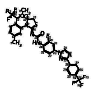 COC(c1ccc(C)cc1N1C(=O)CS/C1=N\C(=O)Nc1ccc(-n2cnc(-c3ccc(C(F)(F)F)cc3)n2)cc1F)C(F)(F)F